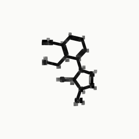 CSc1cccc(-n2nnn(C)c2=O)c1CBr